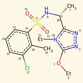 CCOc1nnc([C@@H](C)NS(=O)(=O)c2cccc(Cl)c2C)n1CC